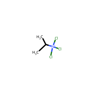 CC(C)[N+](Cl)(Cl)Cl